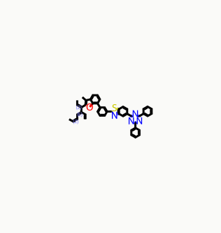 C=CC(=C\C=C/C)/C(=C/C)c1oc2c(-c3cccc(-c4nc5cc(-c6nc(-c7ccccc7)nc(-c7ccccc7)n6)ccc5s4)c3)cccc2c1C